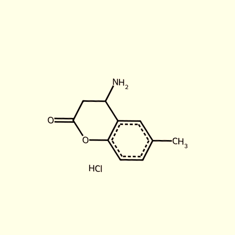 Cc1ccc2c(c1)C(N)CC(=O)O2.Cl